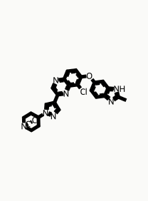 Cc1nc2ccc(Oc3ccc4ncc(-c5cnn(C67CCN(CC6)CC7)c5)nc4c3Cl)cc2[nH]1